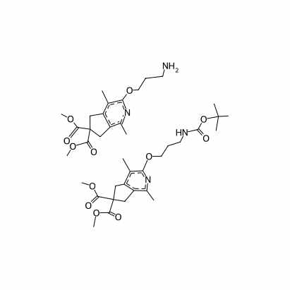 COC(=O)C1(C(=O)OC)Cc2c(C)nc(OCCCN)c(C)c2C1.COC(=O)C1(C(=O)OC)Cc2c(C)nc(OCCCNC(=O)OC(C)(C)C)c(C)c2C1